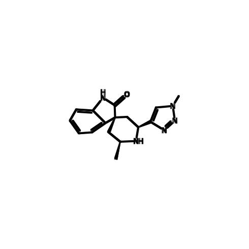 C[C@H]1C[C@]2(C[C@@H](c3cn(C)nn3)N1)C(=O)Nc1ccccc12